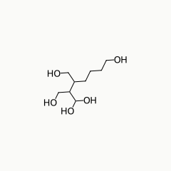 OCCCCC(CO)C(CO)C(O)O